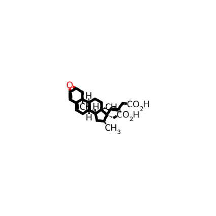 C[C@H]1C[C@H]2[C@@H]3CC=C4C=C5OC5C[C@]4(C)[C@H]3CC[C@]2(C)[C@]1(C=CCC(=O)O)CC(=O)O